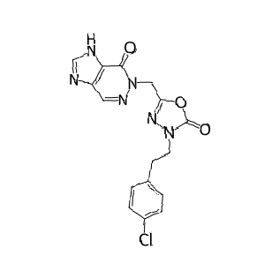 O=c1oc(Cn2ncc3nc[nH]c3c2=O)nn1CCc1ccc(Cl)cc1